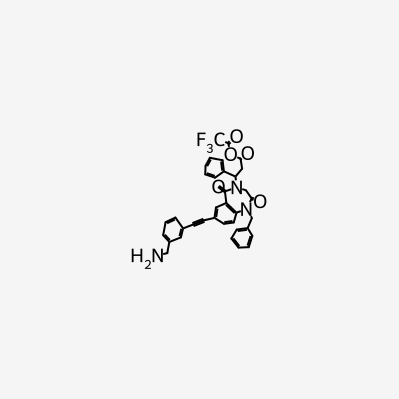 NCc1cccc(C#Cc2ccc3c(c2)C(=O)N(C(CC(=O)OC(=O)C(F)(F)F)c2ccccc2)CC(=O)N3Cc2ccccc2)c1